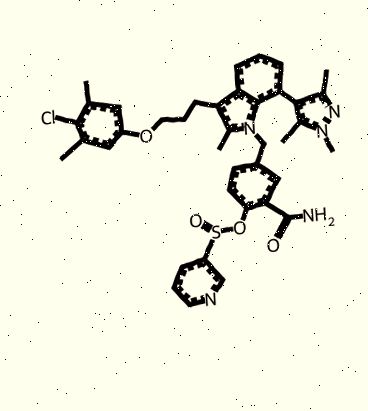 Cc1cc(OCCCc2c(C)n(Cc3ccc(OS(=O)c4cccnc4)c(C(N)=O)c3)c3c(-c4c(C)nn(C)c4C)cccc23)cc(C)c1Cl